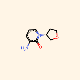 Nc1cccn([C@H]2CCOC2)c1=O